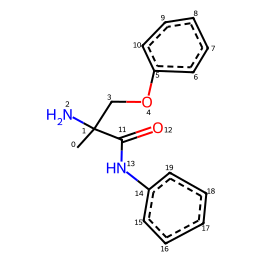 CC(N)(COc1ccccc1)C(=O)Nc1ccccc1